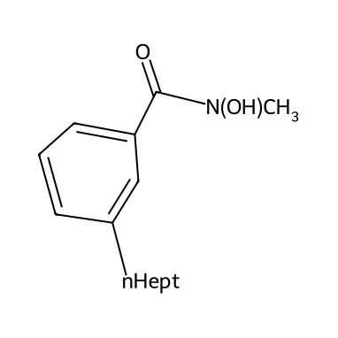 CCCCCCCc1cccc(C(=O)N(C)O)c1